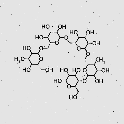 C[C@@H]1[C@@H](O)[C@@H](OC[C@H]2O[C@H](OC[C@H]3O[C@H](OC[C@H]4O[C@H](O[C@H]5[C@H](O)[C@@H](O)[C@@H](O)O[C@@H]5CO)[C@H](O)[C@@H](O)[C@@H]4C)[C@H](O)[C@@H](O)[C@@H]3O)[C@H](O)[C@@H](O)[C@@H]2O)O[C@H](CO)[C@H]1O